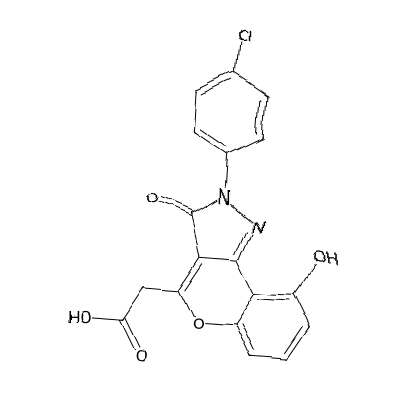 O=C(O)Cc1oc2cccc(O)c2c2nn(-c3ccc(Cl)cc3)c(=O)c1-2